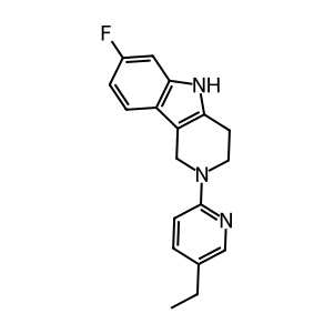 CCc1ccc(N2CCc3[nH]c4cc(F)ccc4c3C2)nc1